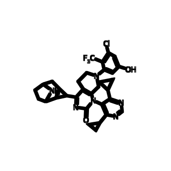 O=c1nc(C2C3C4CCC(C[C@H]23)N4)c2c(n1-c1c(C3CC3)ncnc1C1CC1)CN(c1cc(O)cc(Cl)c1C(F)(F)F)CC2